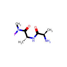 C[C@@H](N)C(=O)N[C@H](C)C(=O)N(C)I